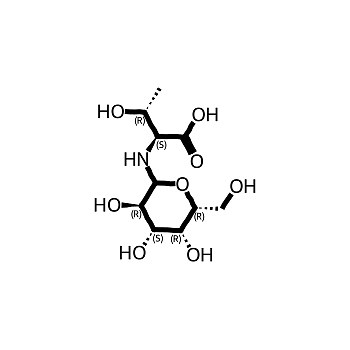 C[C@@H](O)[C@H](NC1O[C@H](CO)[C@H](O)[C@H](O)[C@H]1O)C(=O)O